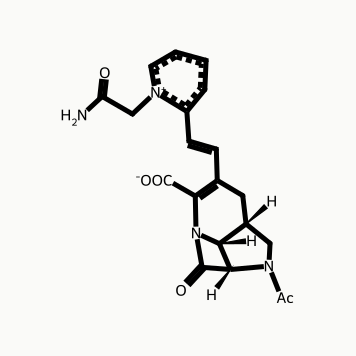 CC(=O)N1C[C@H]2CC(/C=C/c3cccc[n+]3CC(N)=O)=C(C(=O)[O-])N3C(=O)[C@@H]1[C@@H]23